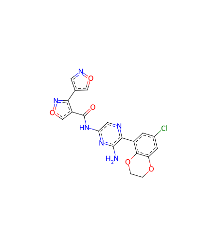 Nc1nc(NC(=O)c2conc2-c2cnoc2)cnc1-c1cc(Cl)cc2c1OCCO2